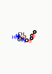 Cc1n[nH]c(C)c1CCC(=O)N[C@H]1CC[C@H](Oc2ccc3c(c2)CCC(c2ccccc2)O3)CC1